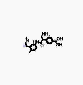 C=N/C=C\c1cc(NC(=O)C(CN)c2ccc(B(O)O)cc2)ccc1C